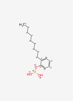 CCCCCCCCCc1ccccc1OP(O)O